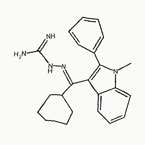 Cn1c(-c2ccccc2)c(C(=NNC(=N)N)C2CCCCC2)c2ccccc21